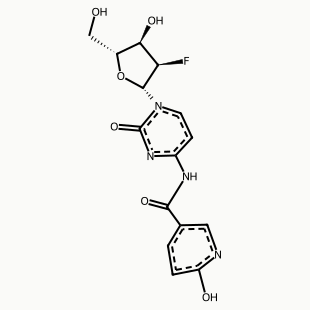 O=C(Nc1ccn([C@@H]2O[C@H](CO)[C@@H](O)[C@H]2F)c(=O)n1)c1ccc(O)nc1